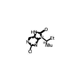 CCCC[C@H](CC)n1c(=O)[nH]c2cnc(Cl)nc21